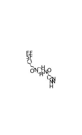 O=C(/C=C/c1ccc(SC(F)(F)F)cc1)N1CC[C@@H]2CN(C(=O)c3ccc4[nH]nnc4c3)C[C@@H]2CC1